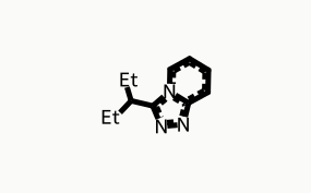 CCC(CC)c1nnc2ccccn12